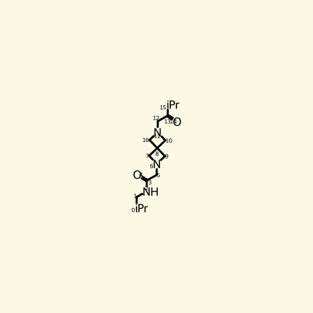 CC(C)CNC(=O)CN1CC2(C1)CN(CC(=O)C(C)C)C2